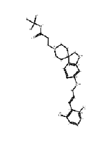 CC(C)(C)OC(=O)CCN1CCC2(CC1)COc1cc(OC/C=C/c3c(Cl)cccc3Cl)ccc12